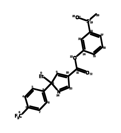 CCC1(c2ccc(C(F)(F)F)cc2)C=C(C(=O)Oc2cccc([S+](C)[O-])c2)C=N1